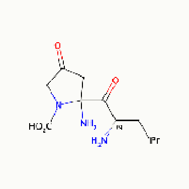 CC(C)C[C@H](N)C(=O)C1(N)CC(=O)CN1C(=O)O